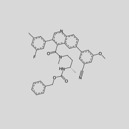 COc1cc(C#N)cc(-c2ccc3ncc(-c4cc(C)cc(F)c4)c(C(=O)N(C)CC[C@H](C)NC(=O)OCc4ccccc4)c3c2)c1